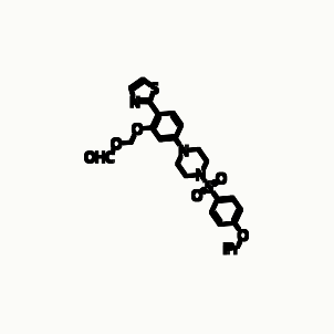 CC(C)Oc1ccc(S(=O)(=O)N2CCN(c3ccc(-c4nccs4)c(OCOC=O)c3)CC2)cc1